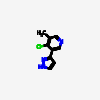 Cc1cncc(-c2cc[nH]n2)c1Cl